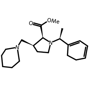 COC(=O)[C@@H]1[C@H](CN2CCCCC2)CCN1[C@@H](C)C1=CC=CCC1